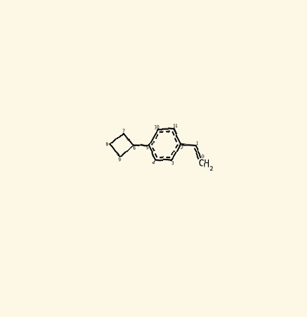 C=Cc1ccc(C2CCC2)cc1